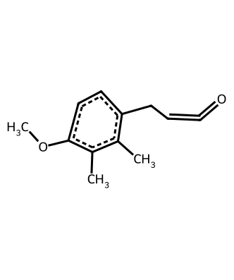 COc1ccc(CC=C=O)c(C)c1C